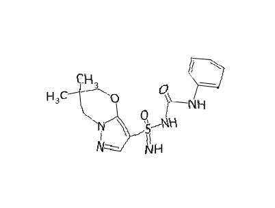 CC1(C)COc2c(S(=N)(=O)NC(=O)Nc3ccccc3)cnn2C1